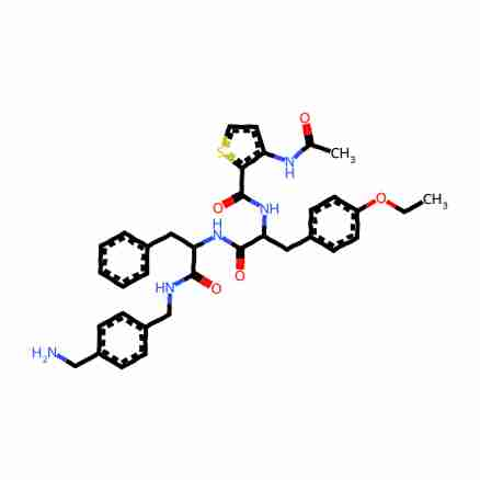 CCOc1ccc(CC(NC(=O)c2sccc2NC(C)=O)C(=O)NC(Cc2ccccc2)C(=O)NCc2ccc(CN)cc2)cc1